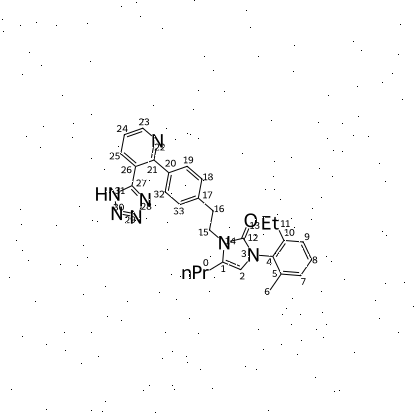 CCCc1cn(-c2c(C)cccc2CC)c(=O)n1CCc1ccc(-c2ncccc2-c2nnn[nH]2)cc1